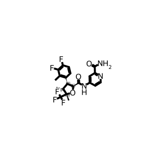 Cc1c([C@@H]2[C@@H](C(=O)Nc3ccnc(C(N)=O)c3)O[C@](C)(C(F)(F)F)[C@@H]2C)ccc(F)c1F